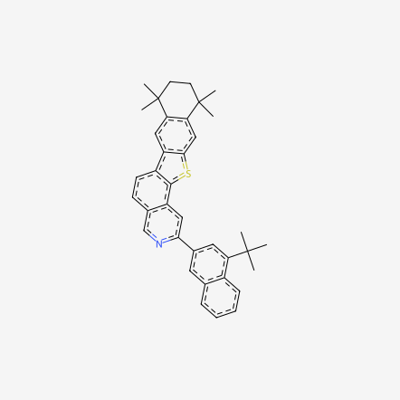 CC(C)(C)c1cc(-c2cc3c(ccc4c5cc6c(cc5sc34)C(C)(C)CCC6(C)C)cn2)cc2ccccc12